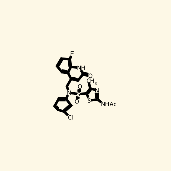 CC(=O)Nc1nc(C)c(S(=O)(=O)N(Cc2cc(=O)[nH]c3c(F)cccc23)c2cccc(Cl)c2)s1